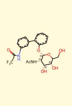 CC(=O)N[C@@H]1[C@H](Oc2ccccc2-c2cccc(NC(=O)C(F)(F)F)c2)OC(CO)[C@H](O)[C@@H]1O